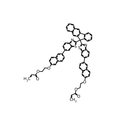 C=CC(=O)OCCOc1ccc2cc(-c3ccc4nc(C5(c6nc7ccc(-c8ccc9cc(OCCOC(=O)C=C)ccc9c8)cc7s6)c6ccccc6-c6cc7ccccc7cc65)sc4c3)ccc2c1